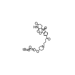 CC(C)(C)OC(=O)N1CC(OC2CCN(CCCCC(=O)c3ccc4c(c3)C(=O)N(C3CCC(=O)NC3=O)C4=O)CC2)C1